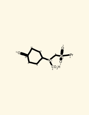 CC(C)S(=O)(=O)CN(C(=O)O)C1CCC(=O)CC1